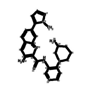 Cn1nccc1-c1ccc2cc(N)c(C(=O)Nc3cnccc3N3CCCC(N)C3)nc2c1